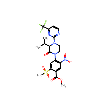 COC(=O)c1cc([N+](=O)[O-])c(N2CCN(c3nccc(C(F)(F)F)n3)C(C(C)C)C2=O)cc1S(C)(=O)=O